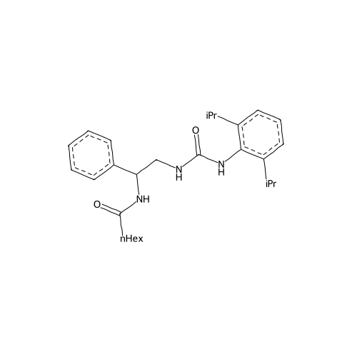 CCCCCCC(=O)NC(CNC(=O)Nc1c(C(C)C)cccc1C(C)C)c1ccccc1